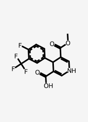 COC(=O)C1=CNC=C(C(=O)O)C1c1ccc(F)c(C(F)(F)F)c1